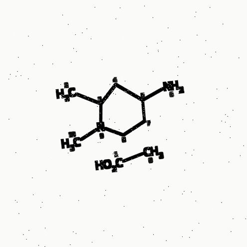 CC(=O)O.CC1CC(N)CCN1C